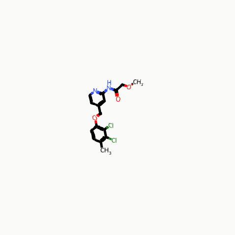 COCC(=O)Nc1cc(COc2ccc(C)c(Cl)c2Cl)ccn1